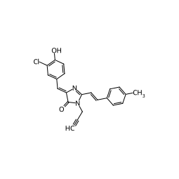 C#CCN1C(=O)/C(=C/c2ccc(O)c(Cl)c2)N=C1/C=C/c1ccc(C)cc1